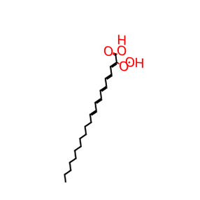 CCCCCCCCCCC/C=C/C=C/C=C/C=C/C=C(\OO)C(=O)O